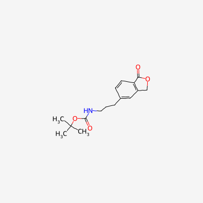 CC(C)(C)OC(=O)NCCCc1ccc2c(c1)COC2=O